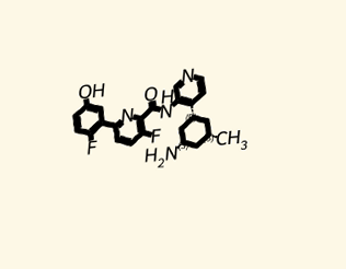 C[C@@H]1C[C@H](N)C[C@H](c2ccncc2NC(=O)c2nc(-c3cc(O)ccc3F)ccc2F)C1